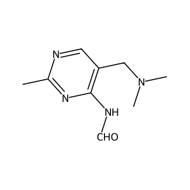 Cc1ncc(CN(C)C)c(NC=O)n1